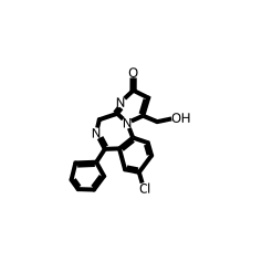 O=c1cc(CO)n2c(n1)CN=C(c1ccccc1)c1cc(Cl)ccc1-2